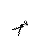 C1CCSC1.CCCCCCCC(CCCCCCC)c1ccc(C(=O)O)cc1